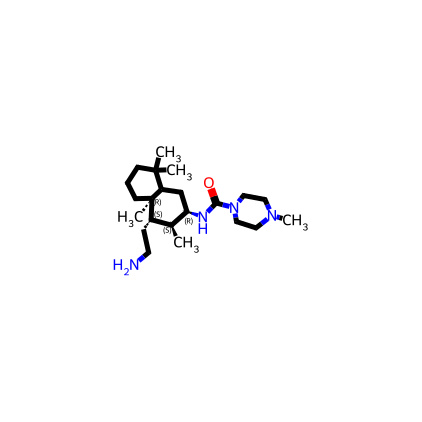 C[C@@H]1[C@H](NC(=O)N2CCN(C)CC2)CC2C(C)(C)CCC[C@]2(C)[C@H]1CCN